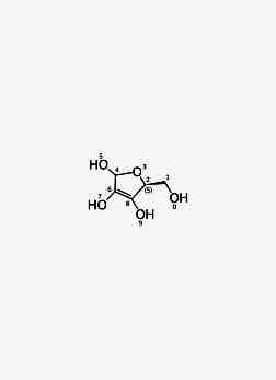 OC[C@@H]1OC(O)C(O)=C1O